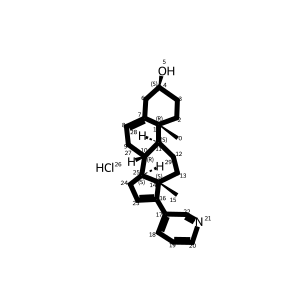 C[C@]12CC[C@H](O)CC1=CC[C@@H]1[C@@H]2CC[C@]2(C)C(c3cccnc3)=CC[C@@H]12.Cl